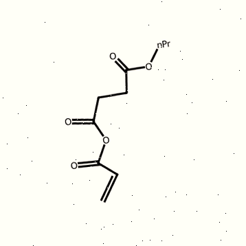 C=CC(=O)OC(=O)CCC(=O)OCCC